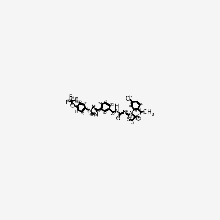 CC(C)c1ccc(Cl)cc1N1C(=O)CS/C1=N\C(=O)NCc1cccc(-c2ncn(-c3ccc(OC(F)(F)F)cc3)n2)c1